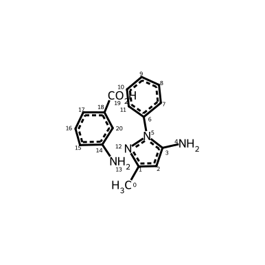 Cc1cc(N)n(-c2ccccc2)n1.Nc1cccc(C(=O)O)c1